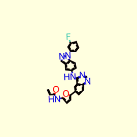 C=CC(=O)Nc1ccc(-c2ccc3ncnc(Nc4ccc5c(cnn5-c5cccc(F)c5)c4)c3c2)o1